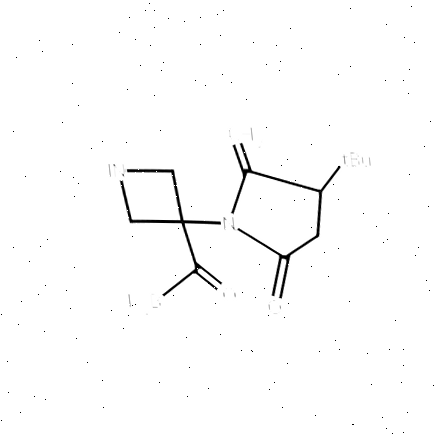 BC(=O)C1(N2C(=C)C(C(C)(C)C)CC2=O)CNC1